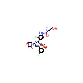 C[C@H]1COCCN1c1cc(-c2cc(F)ccc2S(C)(=O)=O)nc(-c2ccc(NC(=O)NCCO)cc2F)n1